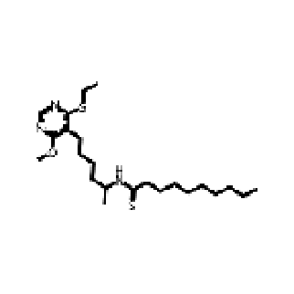 CCCCCCCCCC(=S)NC(C)CCCCc1c(OC)ncnc1SCC